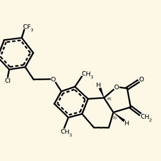 C=C1C(=O)O[C@H]2c3c(C)c(OCc4cc(C(F)(F)F)ccc4Cl)cc(C)c3CC[C@@H]12